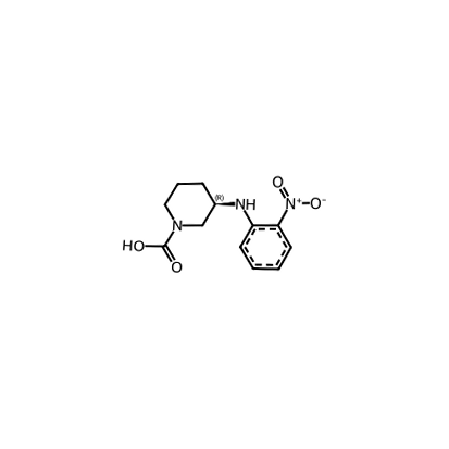 O=C(O)N1CCC[C@@H](Nc2ccccc2[N+](=O)[O-])C1